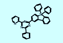 c1ccc(-c2nc(-c3ccc4c(c3)-c3ccccc3[Si]4(c3ccccc3)c3ccccc3)nc(-c3ccccn3)n2)cc1